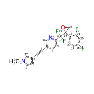 Cn1ccc(C#Cc2ccc(C(F)(F)C3(c4ccc(F)cc4F)CO3)nc2)c1